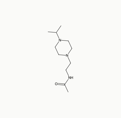 CC(=O)NCCN1CCN(C(C)C)CC1